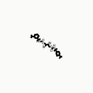 C=C(C)c1ccc(C(C)(C)NC(=O)OCC(Br)C(Br)COC(=O)NC(C)(C)c2cccc(C(=C)C)c2)cc1